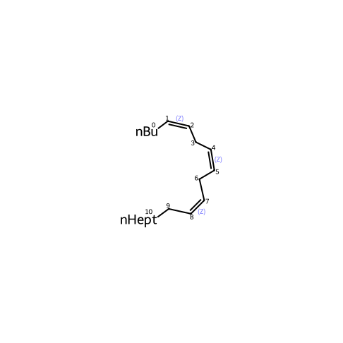 [CH2]CCC/C=C\C/C=C\C/C=C\CCCCCCCC